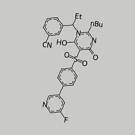 CCCCc1nc(=O)c(S(=O)(=O)c2ccc(-c3cncc(F)c3)cc2)c(O)n1C(CC)c1cccc(C#N)c1